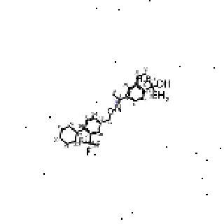 BC(B)(O)c1ccc(/C(C)=N/OCc2ccc(C3CCCCC3)c(C(F)(F)F)c2)cc1CC